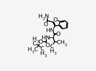 CC(C)[C@@H](NC(=O)OC(C)(C)C)C(=O)Nc1c(C(N)=O)oc2ccccc12